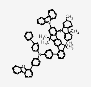 CC1C=C2C(=CC1)C1(C)CC=CC=C1N2c1cc(-n2c3ccccc3c3ccccc32)cc2c1-c1cc3c(cc1C2(C)C)-c1c(-c2ccc(N(c4ccc(-c5ccccc5)cc4)c4ccc(-c5cccc6c5oc5ccccc56)cc4)cc2)cccc1C3(C)C